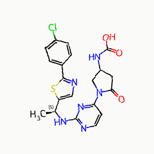 C[C@H](Nc1nccc(N2CC(NC(=O)O)CC2=O)n1)c1cnc(-c2ccc(Cl)cc2)s1